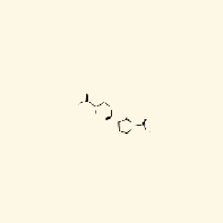 C[C@H](NC(=O)[C@H]1CCN(C(=O)O)C1)[C@@H](O)C(N)=O